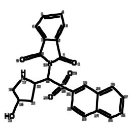 O=C1c2ccccc2C(=O)N1C(C1CC(O)CN1)S(=O)(=O)c1ccc2ccccc2c1